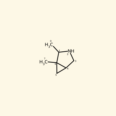 CC1NCC2CC21C